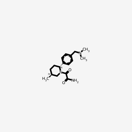 C[C@H]1CC[C@H](c2ccc(CN(C)C)cc2)N(C(=O)C(N)=O)C1